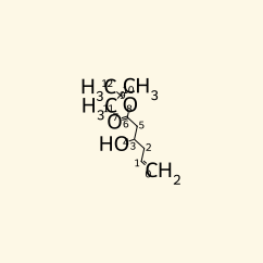 C=CCC(O)CC(=O)OC(C)(C)C